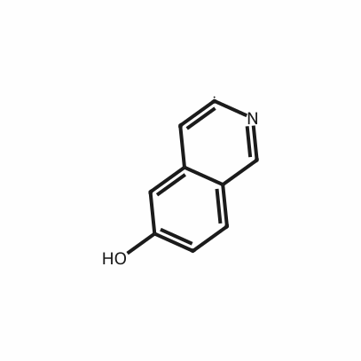 Oc1ccc2cn[c]cc2c1